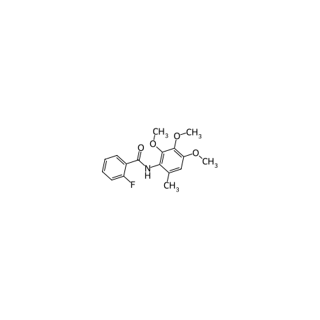 COc1cc(C)c(NC(=O)c2ccccc2F)c(OC)c1OC